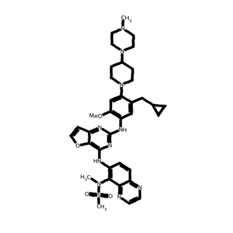 COc1cc(N2CCC(N3CCN(C)CC3)CC2)c(CC2CC2)cc1Nc1nc(Nc2ccc3nccnc3c2N(C)S(C)(=O)=O)c2occc2n1